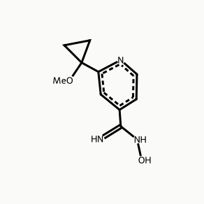 COC1(c2cc(C(=N)NO)ccn2)CC1